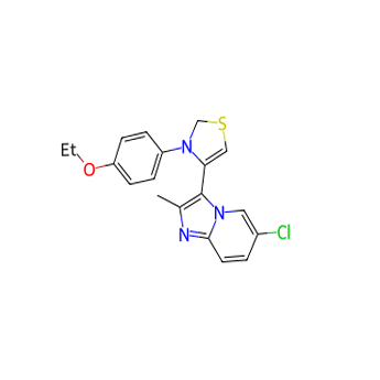 CCOc1ccc(N2CSC=C2c2c(C)nc3ccc(Cl)cn23)cc1